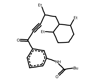 CCC(C#CC(=O)c1cccc(NC(=O)C(C)CC)c1)CC1C(CC)CCCC1CC